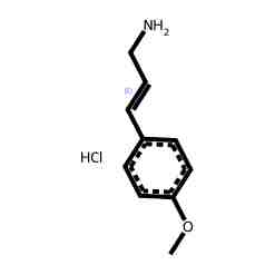 COc1ccc(/C=C/CN)cc1.Cl